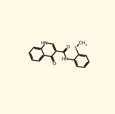 CSc1ccccc1NC(=O)c1c[nH]c2ccccc2c1=O